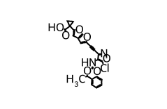 CC(OC(=O)Nc1c(C#Cc2cc3cc(C4(C(=O)O)CC4)oc3o2)noc1Cl)c1ccccc1